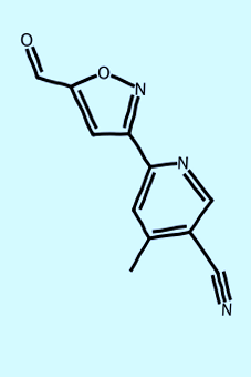 Cc1cc(-c2cc(C=O)on2)ncc1C#N